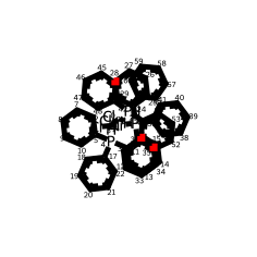 [Cl][Ir]([Cl])([Cl])([PH](c1ccccc1)(c1ccccc1)c1ccccc1)([PH](c1ccccc1)(c1ccccc1)c1ccccc1)[PH](c1ccccc1)(c1ccccc1)c1ccccc1